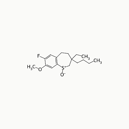 CCCCC1(CC)CCc2cc(F)c(OC)cc2[S+]([O-])C1